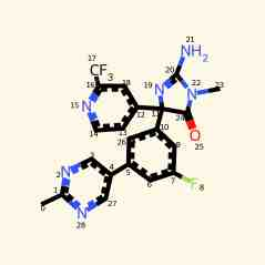 Cc1ncc(-c2cc(F)cc(C3(c4ccnc(C(F)(F)F)c4)N=C(N)N(C)C3=O)c2)cn1